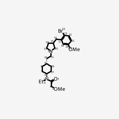 CCN(C(=O)COC)[C@H]1CC[C@H](CCN2CCC(Cc3cc(OC)ccc3Br)C2)CC1